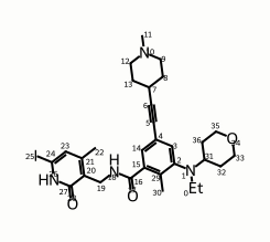 CCN(c1cc(C#CC2CCN(C)CC2)cc(C(=O)NCc2c(C)cc(I)[nH]c2=O)c1C)C1CCOCC1